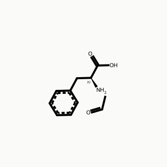 CC=O.N[C@@H](Cc1ccccc1)C(=O)O